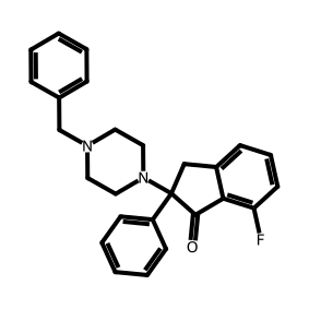 O=C1c2c(F)cccc2CC1(c1ccccc1)N1CCN(Cc2ccccc2)CC1